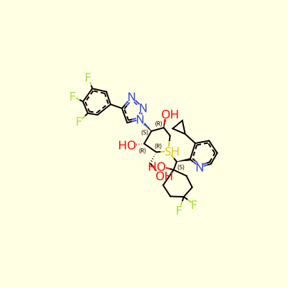 OC[C@@H]1[C@H](O)[C@@H](n2cc(-c3cc(F)c(F)c(F)c3)nn2)[C@@H](O)C[SH]1[C@@H](c1ncccc1C1CC1)C1(O)CCC(F)(F)CC1